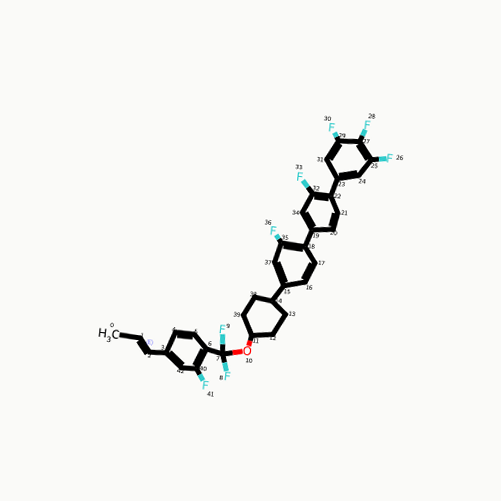 C/C=C/c1ccc(C(F)(F)OC2CCC(c3ccc(-c4ccc(-c5cc(F)c(F)c(F)c5)c(F)c4)c(F)c3)CC2)c(F)c1